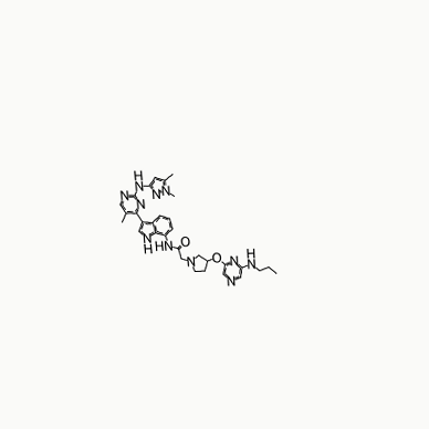 CCCNc1cncc(OC2CCN(CC(=O)Nc3cccc4c(-c5nc(Nc6cc(C)n(C)n6)ncc5C)c[nH]c34)C2)n1